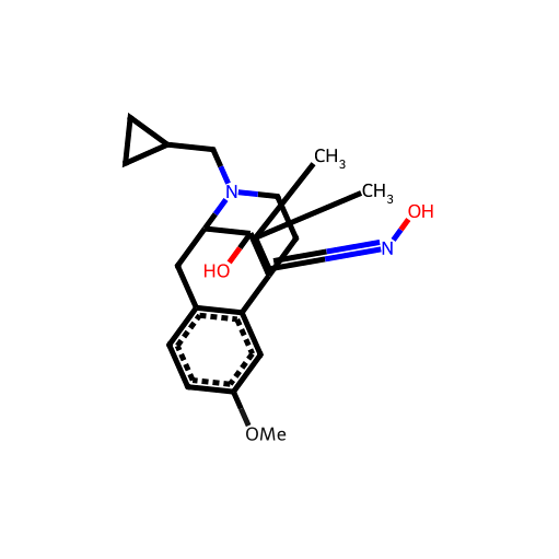 COc1ccc2c(c1)C13CCN(CC4CC4)C(C2)C1(O)CC(C)(C)/C(=N\O)C3